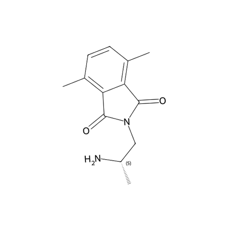 Cc1ccc(C)c2c1C(=O)N(C[C@H](C)N)C2=O